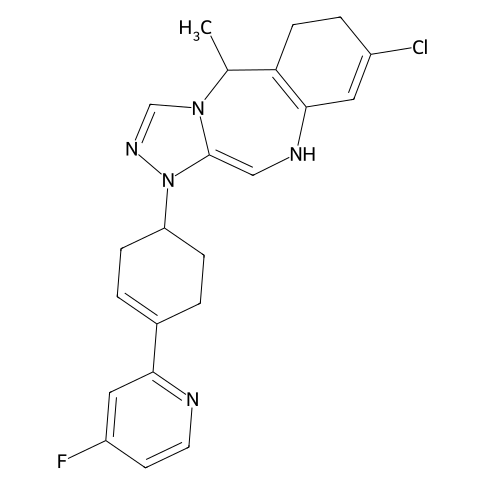 CC1C2=C(C=C(Cl)CC2)NC=C2N1C=NN2C1CC=C(c2cc(F)ccn2)CC1